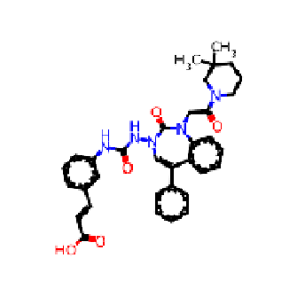 CC1(C)CCCN(C(=O)CN2C(=O)N(NC(=O)Nc3cccc(C=CC(=O)O)c3)C=C(c3ccccc3)c3ccccc32)C1